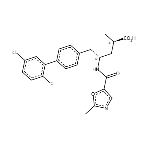 Cc1ncc(C(=O)N[C@H](Cc2ccc(-c3cc(Cl)ccc3F)cc2)C[C@@H](C)C(=O)O)o1